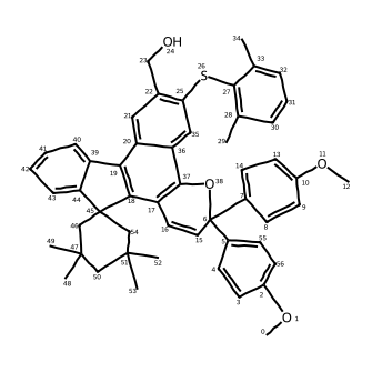 COc1ccc(C2(c3ccc(OC)cc3)C=Cc3c4c(c5cc(CO)c(Sc6c(C)cccc6C)cc5c3O2)-c2ccccc2C42CC(C)(C)CC(C)(C)C2)cc1